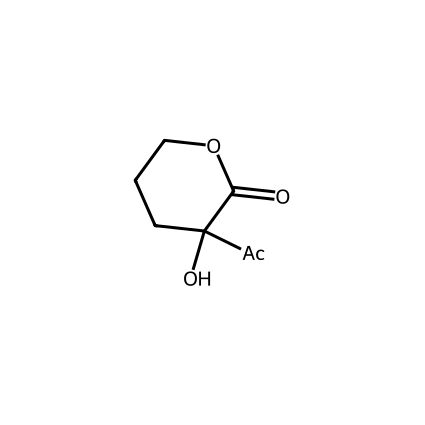 CC(=O)C1(O)CCCOC1=O